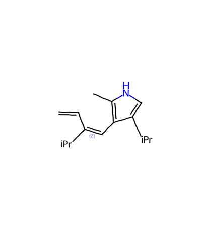 C=C/C(=C\c1c(C(C)C)c[nH]c1C)C(C)C